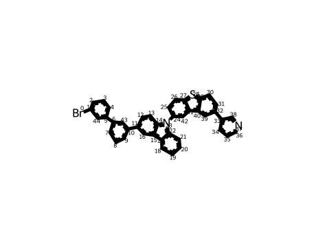 Brc1cccc(-c2cccc(-c3ccc4c(c3)c3ccccc3n4-c3ccc4sc5ccc(-c6cccnc6)cc5c4c3)c2)c1